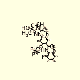 Cn1c(C(C)(C)O)nn(-c2cc(OCC(F)(F)F)c(C(=O)Nc3c(F)cccc3F)cc2F)c1=O